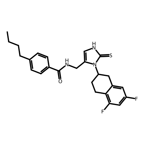 CCCCc1ccc(C(=O)NCc2c[nH]c(=S)n2C2CCc3c(F)cc(F)cc3C2)cc1